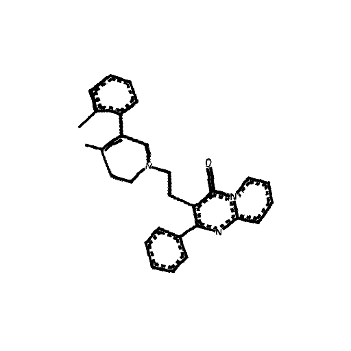 CC1=C(c2ccccc2C)CN(CCc2c(-c3ccccc3)nc3ccccn3c2=O)CC1